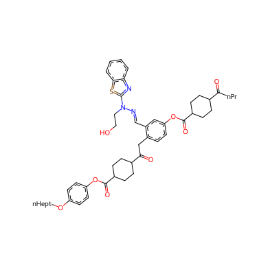 CCCCCCCOc1ccc(OC(=O)C2CCC(C(=O)Cc3ccc(OC(=O)C4CCC(C(=O)CCC)CC4)cc3/C=N/N(CCO)c3nc4ccccc4s3)CC2)cc1